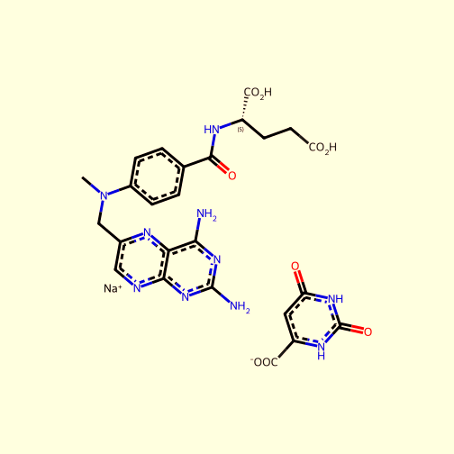 CN(Cc1cnc2nc(N)nc(N)c2n1)c1ccc(C(=O)N[C@@H](CCC(=O)O)C(=O)O)cc1.O=C([O-])c1cc(=O)[nH]c(=O)[nH]1.[Na+]